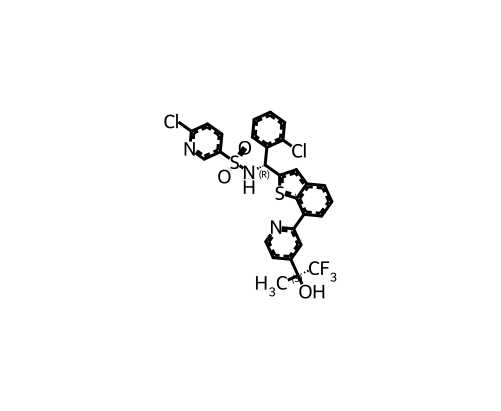 C[C@](O)(c1ccnc(-c2cccc3cc([C@H](NS(=O)(=O)c4ccc(Cl)nc4)c4ccccc4Cl)sc23)c1)C(F)(F)F